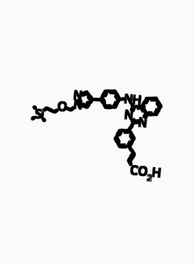 C[Si](C)(C)CCOCn1cc(-c2ccc(Nc3nc(-c4cccc(/C=C/C(=O)O)c4)nc4ccccc34)cc2)cn1